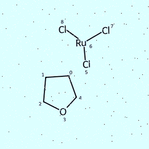 C1CCOC1.[Cl][Ru]([Cl])[Cl]